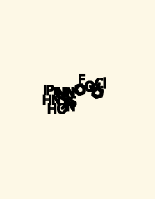 CC(C)NC(=N)c1c(O)nsc1Nc1ccc(Oc2ccccc2Cl)c(F)c1